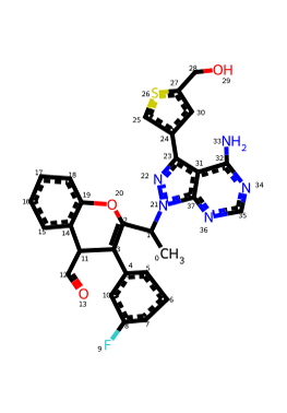 CC(C1=C(c2cccc(F)c2)C(C=O)c2ccccc2O1)n1nc(-c2csc(CO)c2)c2c(N)ncnc21